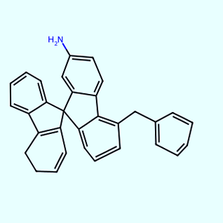 Nc1ccc2c(c1)C1(C3=C(CCC=C3)c3ccccc31)c1cccc(Cc3ccccc3)c1-2